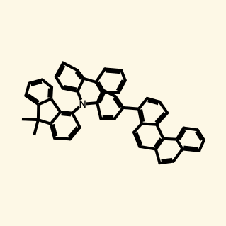 CC1(C)c2ccccc2-c2c(N(c3ccc(-c4cccc5c4ccc4ccc6ccccc6c45)cc3)c3ccccc3-c3ccccc3)cccc21